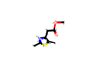 COC(=O)Cc1nc(C)sc1C